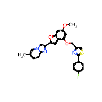 COc1cc(OCc2csc(-c3ccc(F)cc3)n2)c2cc(-c3cn4cc(C)ccc4n3)oc2c1